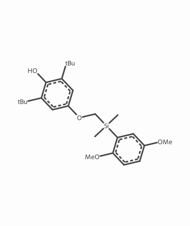 COc1ccc(OC)c([Si](C)(C)COc2cc(C(C)(C)C)c(O)c(C(C)(C)C)c2)c1